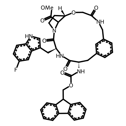 COC(=O)C1[C@@H]2CCN1C(=O)[C@H](Cc1c[nH]c3ccc(F)cc13)NC(=O)[C@@H](NC(=O)OCC1c3ccccc3-c3ccccc31)Cc1cccc(c1)CNC(=O)CO2